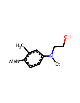 CCN(CCO)c1ccc(NC)c(C)c1